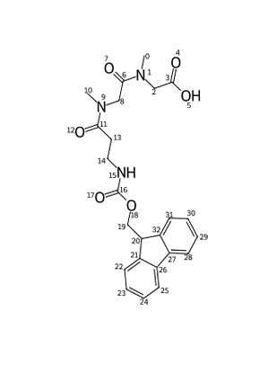 CN(CC(=O)O)C(=O)CN(C)C(=O)CCNC(=O)OCC1c2ccccc2-c2ccccc21